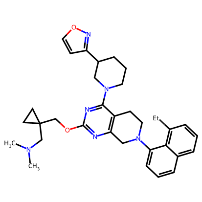 CCc1cccc2cccc(N3CCc4c(nc(OCC5(CN(C)C)CC5)nc4N4CCCC(c5ccon5)C4)C3)c12